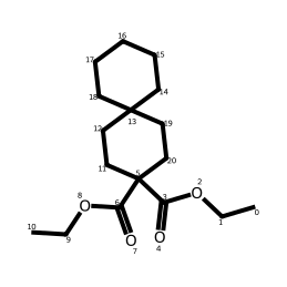 CCOC(=O)C1(C(=O)OCC)CCC2(CCCCC2)CC1